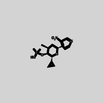 C[C@H]1C[C@H](c2ccncc2[N+](=O)[O-])O[C@H](C2CC2)[C@H]1O[Si](C)(C)C(C)(C)C